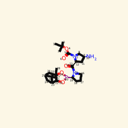 CC(C)(C)OC(=O)N1C[C@H](N)C[C@H]1C(=O)N1CCC[C@H]1P1OC2C3CC(CC2(C)O1)C3(C)C